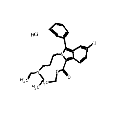 CCOC(=O)c1c2ccc(Cl)cc2c(-c2ccccc2)n1CCCN(CC)CC.Cl